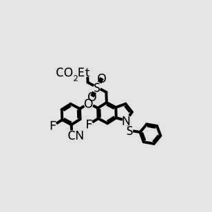 CCOC(=O)CS(=O)(=O)Cc1c(Oc2ccc(F)c(C#N)c2)c(F)cc2c1ccn2Sc1ccccc1